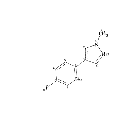 Cn1cc(-c2ccc(F)cn2)cn1